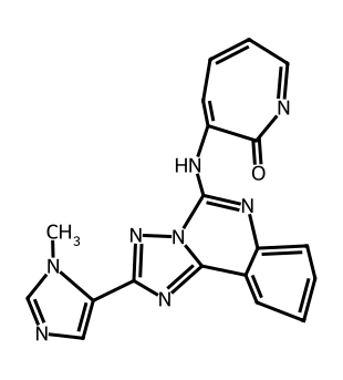 Cn1cncc1-c1nc2c3ccccc3nc(Nc3ccccnc3=O)n2n1